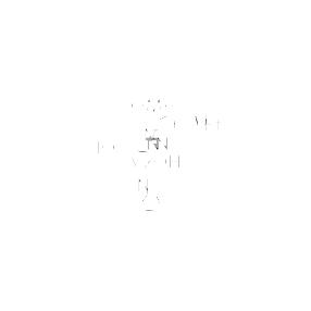 CCOOCc1cc2nn(-c3cc(CCO)cc(C=Nc4ccccc4)c3O)nc2cc1OC